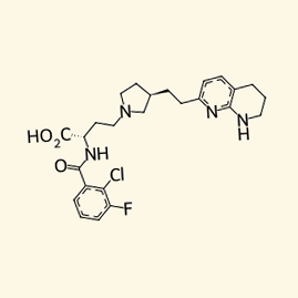 O=C(N[C@@H](CCN1CC[C@@H](CCc2ccc3c(n2)NCCC3)C1)C(=O)O)c1cccc(F)c1Cl